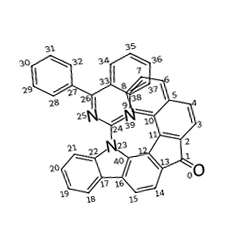 O=C1c2ccc3ccccc3c2-c2c1ccc1c3ccccc3n(-c3nc(-c4ccccc4)c4ccccc4n3)c21